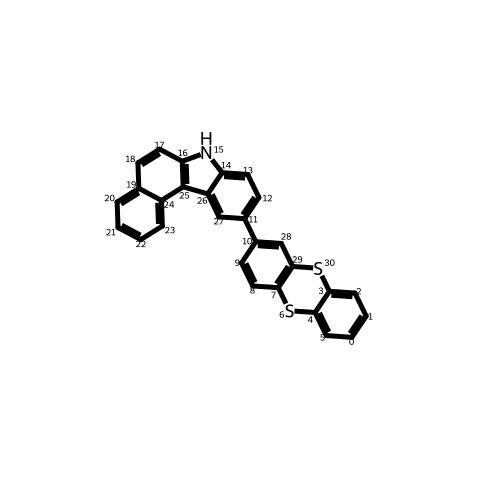 c1ccc2c(c1)Sc1ccc(-c3ccc4[nH]c5ccc6ccccc6c5c4c3)cc1S2